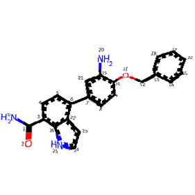 NC(=O)c1ccc(-c2ccc(OCc3ccccc3)c(N)c2)c2cc[nH]c12